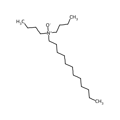 CCCCCCCCCCCC[N+]([O-])(CCCC)CCCC